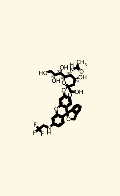 CC(=O)N[C@H]1[C@H]([C@H](O)[C@H](O)CO)O[C@@](Oc2ccc3c(c2)Oc2cc(NCC(F)(F)F)ccc2C32OCc3ccccc32)(C(=O)O)C[C@@H]1O